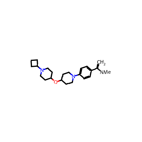 C=C(NC)c1ccc(N2CCC(OC3CCN(C4CCC4)CC3)CC2)cc1